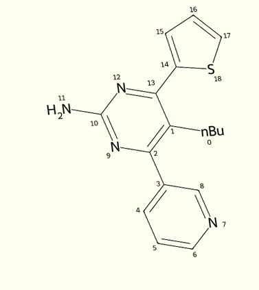 CCCCc1c(-c2cccnc2)nc(N)nc1-c1cccs1